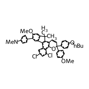 CCCCOc1ccc(C2(c3ccc(OC)cc3)C=Cc3c4c(c5cc(Cl)cc(Cl)c5c3O2)-c2cc(-c3ccc(NC)cc3)c(OC)cc2C4(C)C)cc1